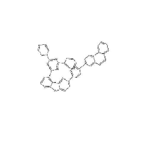 c1ccc(-c2nc(-c3ccccc3)nc(-c3cccc4oc5ccc(-c6ccc(-c7ccc8c(ccc9ccccc98)c7)cc6)cc5c34)n2)cc1